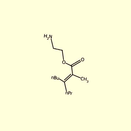 CCCCC(CCC)=C(C)C(=O)OCCN